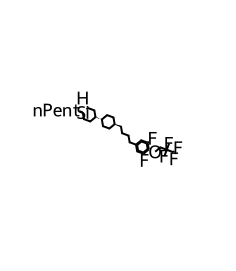 CCCCC[SiH]1CCC([C@H]2CC[C@H](CCCCc3cc(F)c(OCC(F)(F)C(F)F)c(F)c3)CC2)CC1